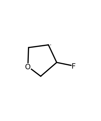 FC1[CH]COC1